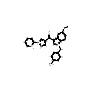 COc1ccc2c(c1)c(C(=O)c1cnn(-c3ccccn3)c1)cn2Cc1ccc(Cl)cc1